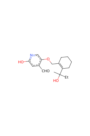 CCC(C)(O)C1=C(COc2cnc(O)cc2C=O)CCCC1